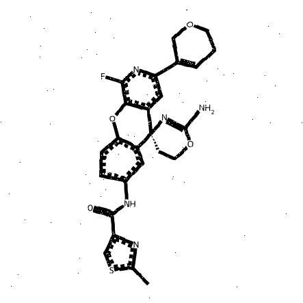 Cc1nc(C(=O)Nc2ccc3c(c2)[C@@]2(CCOC(N)=N2)c2cc(C4=CCCOC4)nc(F)c2O3)cs1